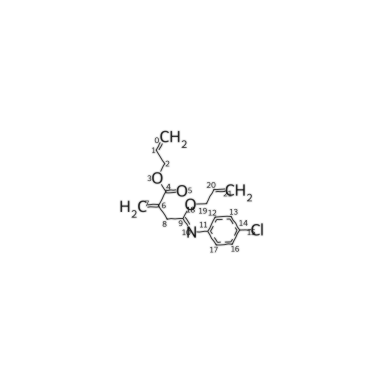 C=CCOC(=O)C(=C)CC(=Nc1ccc(Cl)cc1)OCC=C